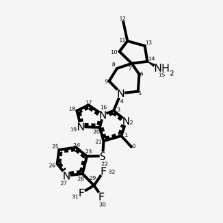 Cc1nc(N2CCC3(CC2)CC(C)C[C@H]3N)n2ccnc2c1Sc1cccnc1C(F)(F)F